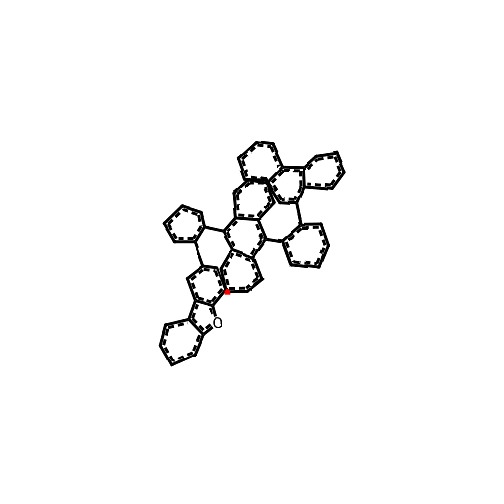 c1ccc(-c2c3ccccc3c(-c3ccccc3-c3cc4ccccc4c4ccccc34)c3ccccc23)c(-c2ccc3oc4ccccc4c3c2)c1